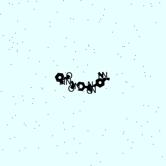 Cc1ccccc1C(=O)NCC(=O)N1CCC(c2nc(-c3ccc4c(C)nn(C)c4c3)no2)CC1